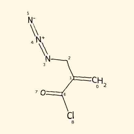 C=C(CN=[N+]=[N-])C(=O)Cl